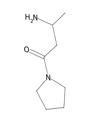 CC(N)CC(=O)N1CCCC1